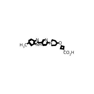 Cc1ccc2nc(-c3ccc(N4CCC(O[C@H]5C[C@@H](C(=O)O)C5)CC4)nc3)[nH]c2c1